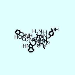 CC[C@H](C)[C@H](NC(=O)[C@H](Cc1ccc(O)cc1)NC(=O)[C@@H](CN)C(C)C)C(=O)NC1Cc2c([nH]c3ccccc23)CN(CC(=O)N[C@@H](Cc2ccccc2)C(=O)O)C1=O